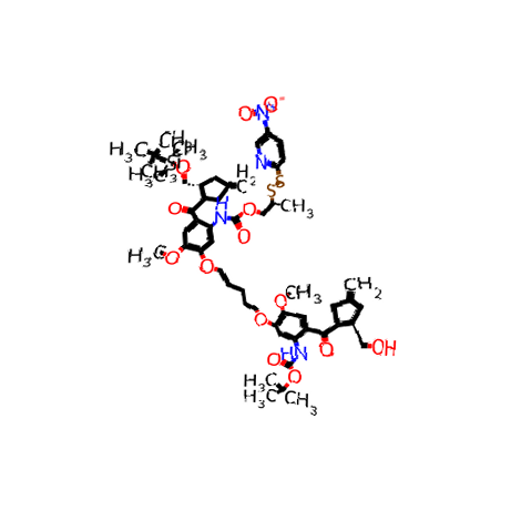 C=C1CC(C(=O)c2cc(OC)c(OCCCCCOc3cc(NC(=O)OC(C)(C)C)c(C(=O)C4CC(=C)C[C@H]4CO)cc3OC)cc2NC(=O)OC[C@H](C)SSc2ccc([N+](=O)[O-])cn2)[C@H](CO[Si](C)(C)C(C)(C)C)C1